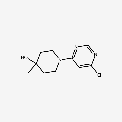 CC1(O)CCN(c2cc(Cl)ncn2)CC1